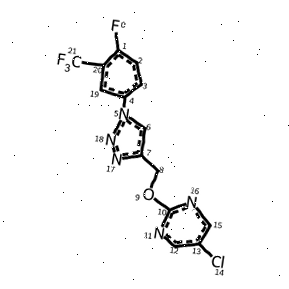 Fc1ccc(-n2cc(COc3ncc(Cl)cn3)nn2)cc1C(F)(F)F